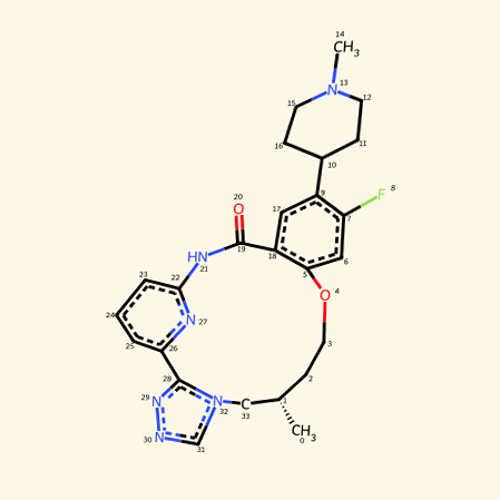 C[C@H]1CCOc2cc(F)c(C3CCN(C)CC3)cc2C(=O)Nc2cccc(n2)-c2nncn2C1